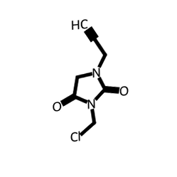 C#CCN1CC(=O)N(CCl)C1=O